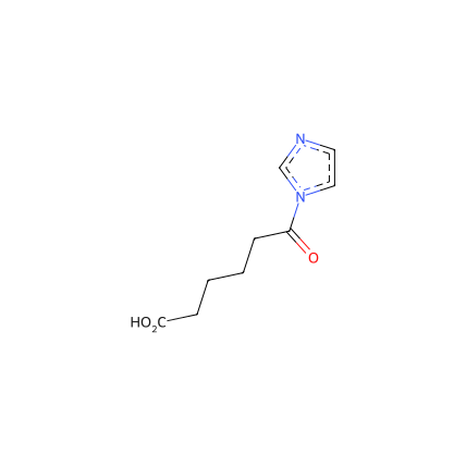 O=C(O)CCCCC(=O)n1ccnc1